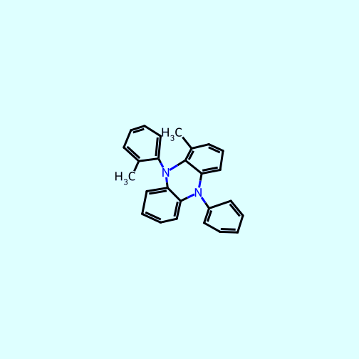 Cc1ccccc1N1c2ccccc2N(c2ccccc2)c2cccc(C)c21